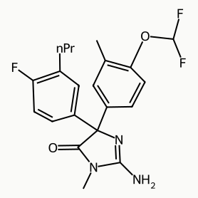 CCCc1cc(C2(c3ccc(OC(F)F)c(C)c3)N=C(N)N(C)C2=O)ccc1F